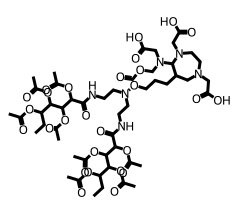 CCC(OC(C)=O)C(OC(C)=O)C(OC(C)=O)C(OC(C)=O)C(=O)NCCN(CCNC(=O)C(OC(C)=O)C(OC(C)=O)C(OC(C)=O)C(CC)OC(C)=O)OCCCC1CN(CC(=O)O)CCN(CC(=O)O)C1N(COC=O)CC(=O)O